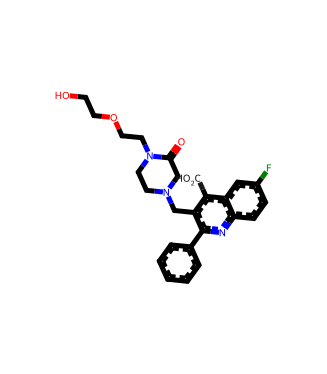 O=C(O)c1c(CN2CCN(CCOCCO)C(=O)C2)c(-c2ccccc2)nc2ccc(F)cc12